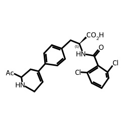 CC(=O)C1CC(c2ccc(C[C@H](NC(=O)c3c(Cl)cccc3Cl)C(=O)O)cc2)=CCN1